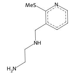 CSc1ncccc1CNCCN